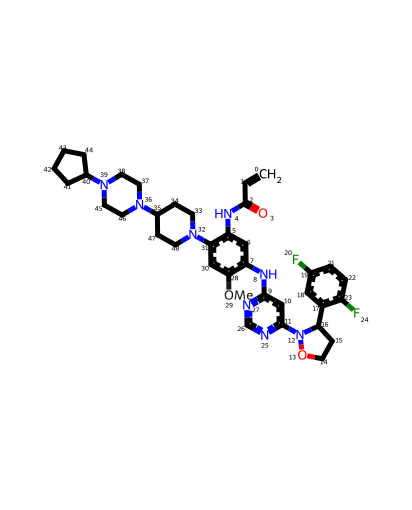 C=CC(=O)Nc1cc(Nc2cc(N3OCCC3c3cc(F)ccc3F)ncn2)c(OC)cc1N1CCC(N2CCN(C3CCCC3)CC2)CC1